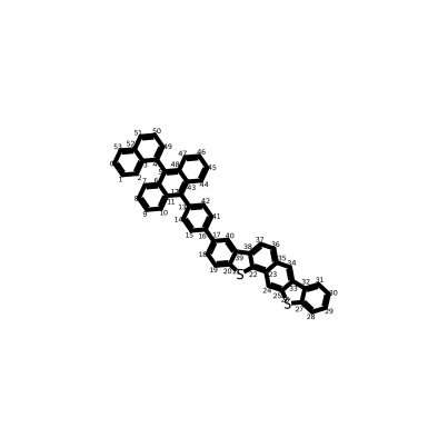 c1ccc2c(-c3c4ccccc4c(-c4ccc(-c5ccc6sc7c8cc9sc%10ccccc%10c9cc8ccc7c6c5)cc4)c4ccccc34)cccc2c1